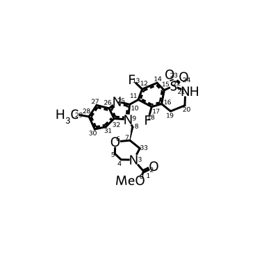 COC(=O)N1CCO[C@@H](Cn2c(-c3c(F)cc4c(c3F)CCNS4(=O)=O)nc3cc(C)ccc32)C1